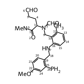 CNC(=O)C(CCC=O)N(C=O)Cc1c(C)cccc1NCc1ccc(OC)cc1P